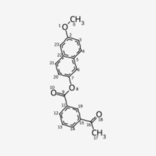 COc1ccc2cc(OC(=O)c3cccc(C(C)=O)c3)ccc2c1